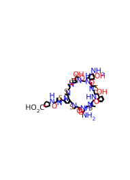 Cc1sc2nc1C(=O)N[C@@H]([C@H](O)c1ccccc1)c1nc(cs1)C(=O)N[C@@H](Cc1ccc(O)c(N)c1)C(=O)N1C[C@H](O)[C@H](C)[C@H]1c1nc(cs1)-c1nc(cs1)-c1nc(-c3nc(C(=O)N[C@H]4CC[C@H](C(=O)O)CC4)cs3)ccc1-c1nc(cs1)C(=O)N[C@H]2CC(N)=O